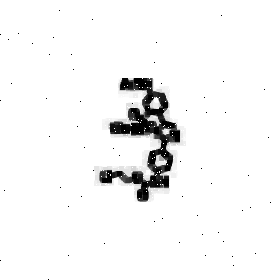 CC(=O)Nc1ccc(-c2cnc(-c3ccc(NC(=O)OCCCl)cc3)s2)c(S(=O)(=O)NC(C)(C)C)c1